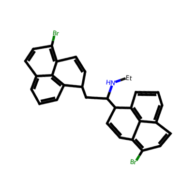 CCNC(CC1C=Cc2c(Br)ccc3cccc1c23)C1C=Cc2c(Br)ccc3cccc1c23